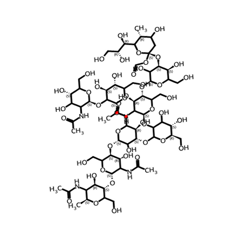 CC(=O)NC1C(O)[C@H](O)C(CO)O[C@H]1OC1[C@@H](OCC2O[C@@H](O[C@@H]3C(CO)O[C@@H](O[C@@H]4C(CO)O[C@@H](C)C(NC(C)=O)[C@H]4O)C(NC(C)=O)[C@H]3O)C(O)[C@@H](OC3O[C@H](CO)[C@@H](O)C(O)C3O[C@@H]3OC(CO)[C@@H](O[C@@H]4OC(CO)[C@H](O)[C@H](O[C@]5(OC=O)CC(O)[C@@H](C)C([C@H](O)[C@H](O)CO)O5)C4O)[C@H](O)C3NC(C)=O)[C@@H]2O)OC(CO)[C@@H](O)[C@@H]1O